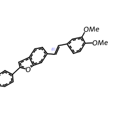 COc1ccc(/C=C/c2ccc3cc(-c4ccccc4)oc3c2)cc1OC